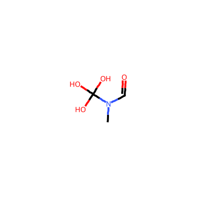 CN(C=O)C(O)(O)O